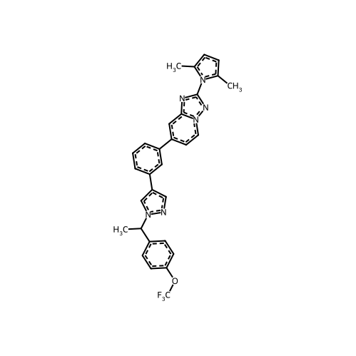 Cc1ccc(C)n1-c1nc2cc(-c3cccc(-c4cnn(C(C)c5ccc(OC(F)(F)F)cc5)c4)c3)ccn2n1